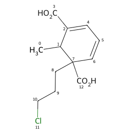 CC1C(C(=O)O)=CC=CC1(CCCCl)C(=O)O